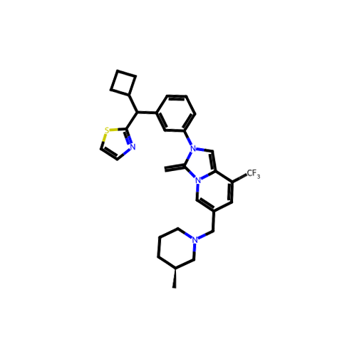 C=C1N2C=C(CN3CCC[C@H](C)C3)C=C(C(F)(F)F)C2=CN1c1cccc(C(c2nccs2)C2CCC2)c1